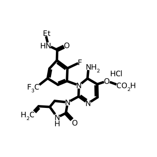 C=CC1CN(C2=NC=C(OC(=O)O)C(N)N2c2cc(C(F)(F)F)cc(C(=O)NCC)c2F)C(=O)N1.Cl